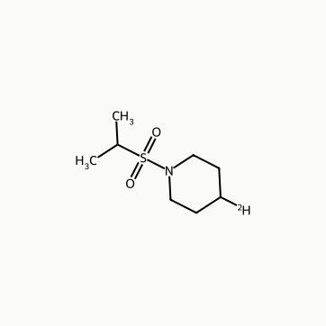 [2H]C1CCN(S(=O)(=O)C(C)C)CC1